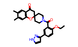 CCOc1ccc(-c2cc[nH]n2)cc1C(=O)N1CCC2(CC1)CC(=O)c1cc(C)c(C)cc1O2